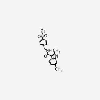 Cc1ccn2c(C(=O)NCc3ccc(S(N)(=O)=O)cc3)c(C)nc2c1